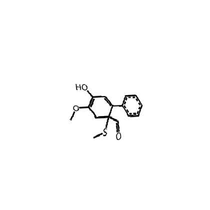 COC1=C(O)C=C(c2ccccc2)C(C=O)(SC)C1